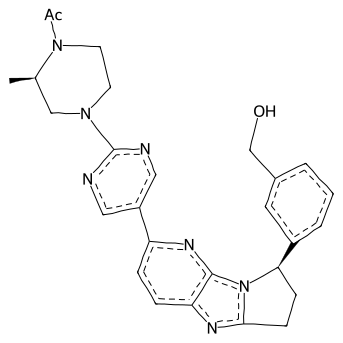 CC(=O)N1CCN(c2ncc(-c3ccc4nc5n(c4n3)[C@@H](c3cccc(CO)c3)CC5)cn2)C[C@H]1C